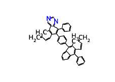 C=C/C=C\c1c(C)c(-c2ccc(-c3c(/C=C\C=C)c(C)c4cncnc4c3-c3ccccc3)cc2)c2ccccc2c1-c1ccccc1